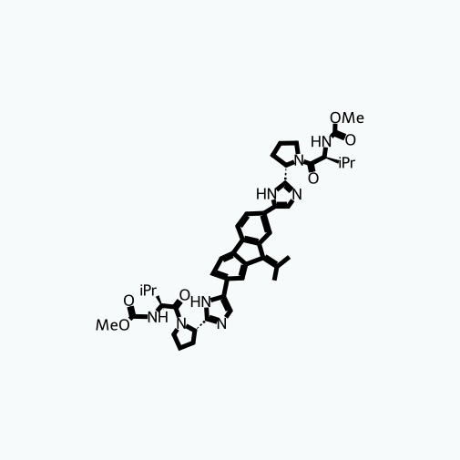 COC(=O)N[C@H](C(=O)N1CCC[C@H]1c1ncc(-c2ccc3c(c2)C(=C(C)C)c2cc(-c4cnc([C@@H]5CCCN5C(=O)[C@@H](NC(=O)OC)C(C)C)[nH]4)ccc2-3)[nH]1)C(C)C